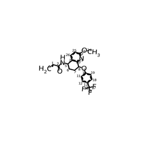 C=CC(=O)NC1CCC(Oc2ccc(C(F)(F)F)cc2)c2nc(OC)ccc21